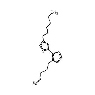 CCCCCCc1csc(-c2sccc2CCCCBr)c1